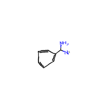 [N]C(N)c1ccccc1